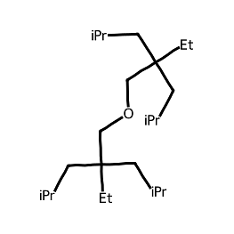 CCC(COCC(CC)(CC(C)C)CC(C)C)(CC(C)C)CC(C)C